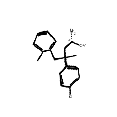 Cc1ccccc1CC(C)(C[C@H](N)O)c1ccc(Cl)cc1